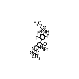 CC(C)n1c(=O)c(-c2cc(F)c(NS(=O)(=O)CCC(F)(F)F)c(F)c2F)cc2cnc(S(C)(=O)=O)nc21